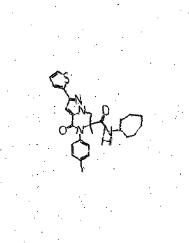 Cc1ccc(N2C(=O)c3cc(-c4cccs4)nn3CC2(C)C(=O)NC2CCCCCC2)cc1